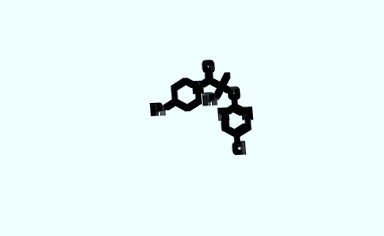 CC(C)C1CCN(C(=O)C(C)(Oc2ncc(Cl)cn2)C(C)C)CC1